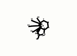 CC1CC23C(CCCC2C(C)(C)C(C)C3(C)C)O1